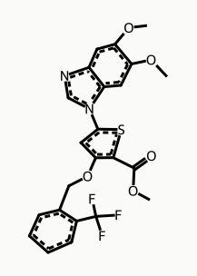 COC(=O)c1sc(-n2cnc3cc(OC)c(OC)cc32)cc1OCc1ccccc1C(F)(F)F